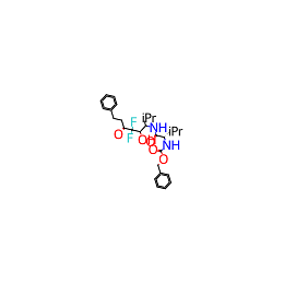 CC(C)C(NC(=O)[C@@H](NC(=O)OCc1ccccc1)C(C)C)C(O)C(F)(F)C(=O)CCc1ccccc1